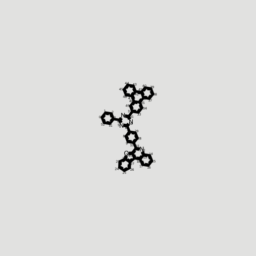 c1ccc(-c2nc(-c3ccc(-c4nc5ccccc5c5c4oc4ccccc45)cc3)nc(-c3ccc4c5ccccc5c5ccccc5c4c3)n2)cc1